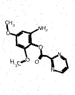 COc1cc(N)c(OC(=O)c2ncccn2)c(OC)c1